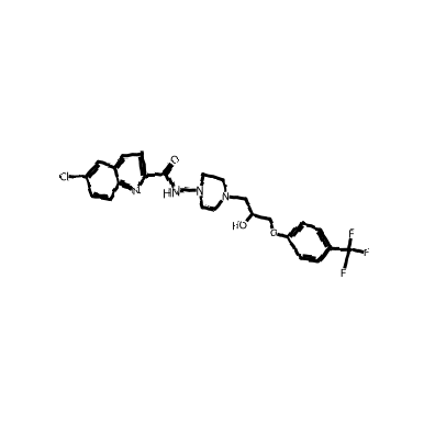 O=C(NN1CCN(CC(O)COc2ccc(C(F)(F)F)cc2)CC1)c1ccc2cc(Cl)ccc2n1